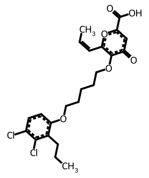 C/C=C\c1oc(C(=O)O)cc(=O)c1OCCCCCOc1ccc(Cl)c(Cl)c1CCC